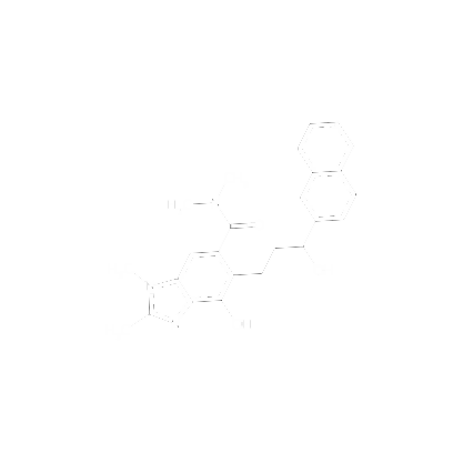 Cc1nc2c(O)c(CCC(O)c3ccc4ccccc4c3)c(C(=O)N(C)C)cc2n1C